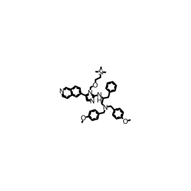 COc1ccc(CN(Cc2ccc(OC)cc2)CC(Cc2ccccc2)Nc2ncc(-c3ccc4cnccc4c3)n2COCC[Si](C)(C)C)cc1